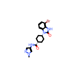 Cn1cc(NC(=O)[C@H]2CC[C@@H](n3c(=O)[nH]c4c(Br)cccc43)CC2)cn1